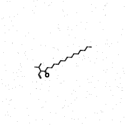 C=CC(C(=O)CCCCCCCCCCCCCC)C(C)C